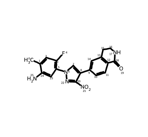 Cc1cc(F)c(-n2cc(-c3ccc4c(c3)CCNC4=O)c([N+](=O)[O-])n2)cc1N